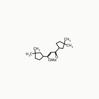 CO/C(=C\C(=O)C1CCC(C)(C)C1)C1CCC(C)(C)C1